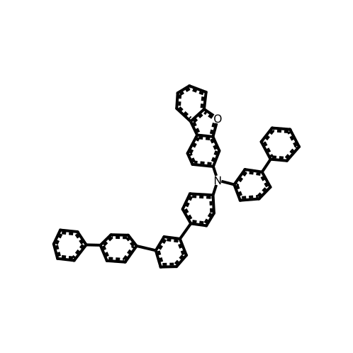 c1ccc(-c2ccc(-c3cccc(-c4ccc(N(c5cccc(-c6ccccc6)c5)c5ccc6c(c5)oc5ccccc56)cc4)c3)cc2)cc1